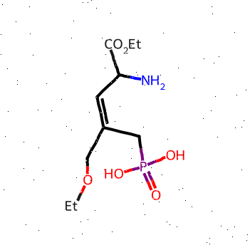 CCOC/C(=C/C(N)C(=O)OCC)CP(=O)(O)O